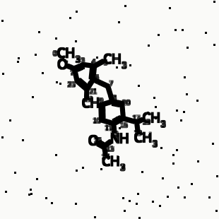 COc1cc(C)c(Cc2ccc(NC(C)=O)c(C(C)C)c2)c(C)c1